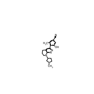 Cc1cc(C#N)cc(O)c1-c1cc2c(nn1)N(C1CCN(C)C1)CCC2